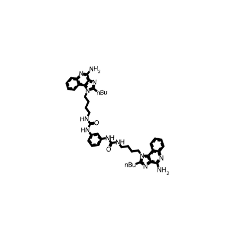 CCCCc1nc2c(N)nc3ccccc3c2n1CCCCNC(=O)Nc1cccc(NC(=O)NCCCCn2c(CCCC)nc3c(N)nc4ccccc4c32)c1